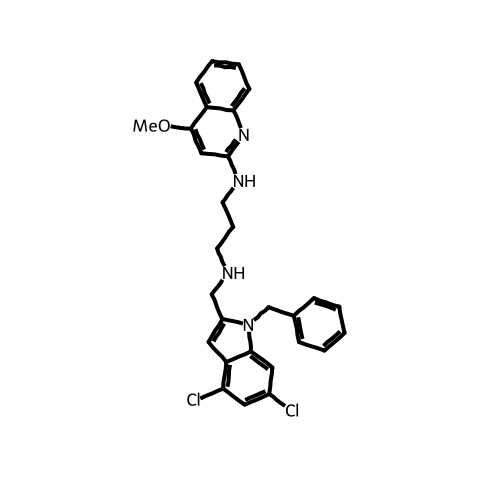 COc1cc(NCCCNCc2cc3c(Cl)cc(Cl)cc3n2Cc2ccccc2)nc2ccccc12